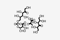 CC(=O)C(=O)O.O=C([C@H](O)CO)[C@@H](O)[C@H](O)CO.O=C[C@H](OP(=O)(O)OC[C@@H](O)[C@@H](O)[C@H](O)C(=O)CO)[C@H](O)CO